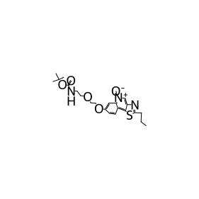 CCCc1nc2c[n+]([O-])c3cc(OCCOCCNC(=O)OC(C)(C)C)ccc3c2s1